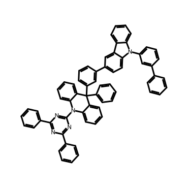 c1ccc(-c2cccc(-n3c4ccccc4c4cc(-c5cccc(C6(c7ccccc7)c7ccccc7N(c7nc(-c8ccccc8)nc(-c8ccccc8)n7)c7ccccc76)c5)ccc43)c2)cc1